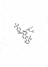 CCCN(Cc1nc(Nc2ccc(C(F)(F)F)cc2)c2ccc(-c3ncccc3C(F)(F)F)cc2n1)CC1CC1